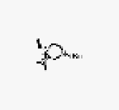 C=CN1CCN(C(C)(C)C)CC1[SiH](C)C